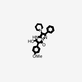 COc1ccc(-c2c(O)[nH]c3c(N4CCCCC4)c(-c4ccccc4)nn3c2=O)cc1